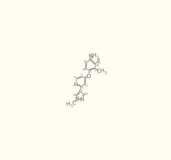 Cc1c(Oc2ccnc(-c3cnn(C)c3)c2)ccc(N)c1F